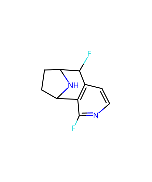 Fc1nccc2c1C1CCC(N1)C2F